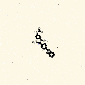 CCC(=O)NC1CC[C@@H](N(N)/C(=C\N)c2ccc(-c3nc4ccccc4s3)cc2)C1